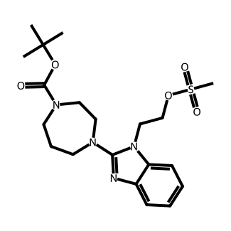 CC(C)(C)OC(=O)N1CCCN(c2nc3ccccc3n2CCOS(C)(=O)=O)CC1